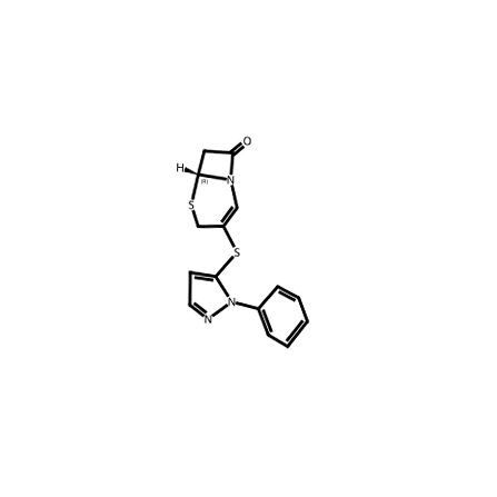 O=C1C[C@H]2SCC(Sc3ccnn3-c3ccccc3)=CN12